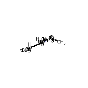 C=CCOC(=O)N1CCCC1CO/N=C(/CNC(=O)CCCCCCCCNC(=O)OC(C)(C)C)N=C